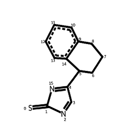 S=C1N=CC(C2CCCc3ccccc32)=N1